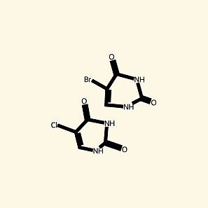 O=c1[nH]cc(Br)c(=O)[nH]1.O=c1[nH]cc(Cl)c(=O)[nH]1